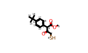 COC(=O)C(C(=O)CS)c1ccc(C(C)(C)C)cc1